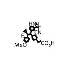 COc1ccc(/C(=C(\c2ccc(/C=C/C(=O)O)cc2)c2ccc3[nH]nc(F)c3c2C#N)C2CC2)c(F)c1